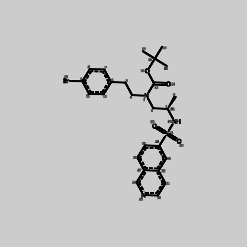 C[C@H](CN(CCc1ccc(Br)cc1)C(=O)OC(C)(C)C)NS(=O)(=O)c1ccc2cnccc2c1